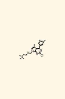 Cc1cn(COCC[Si](C)(C)C)c2nc(Cl)nc(-c3cnn(C)c3)c12